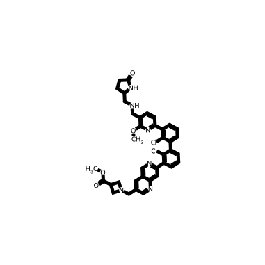 COC(=O)C1CN(Cc2cnc3cc(-c4cccc(-c5cccc(-c6ccc(CNCC7CCC(=O)N7)c(OC)n6)c5Cl)c4Cl)ncc3c2)C1